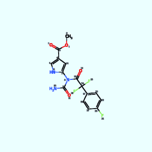 COC(=O)c1c[nH]c(N(C(N)=O)C(=O)C(F)(F)c2ccc(F)cc2)c1